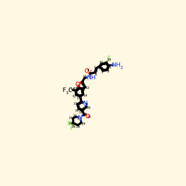 Nc1ccc(/C=C/C(=O)NCc2cc3cc(-c4ccc(C(=O)N5CCC(F)(F)CC5)cn4)cc(C(F)(F)F)c3o2)cc1F